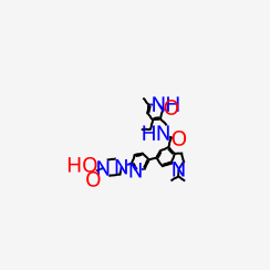 CCc1cc(C)[nH]c(=O)c1CNC(=O)c1cc(-c2ccc(N3CCN(C(=O)O)CC3)nc2)cc2c1CCN2C(C)C